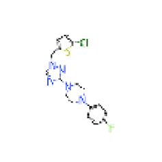 Fc1ccc(N2CCN(c3ncn(Cc4ccc(Cl)s4)n3)CC2)cc1